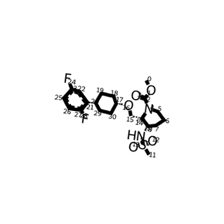 COC(=O)N1CCC[C@H](NS(C)(=O)=O)[C@@H]1CO[C@H]1CC[C@@H](c2cc(F)ccc2F)CC1